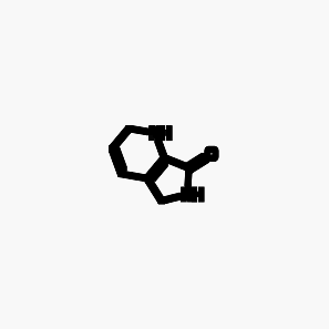 O=C1NCC2=C1NCC=C2